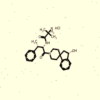 C[C@@H](c1ccccc1)[C@H](NC(=O)C(C)(C)N)C(=O)N1CCC2(CC1)C[C@H](O)c1ccccc12.Cl